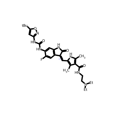 CCN(CC)CCNC(=O)c1c(C)[nH]c(/C=C2\C(=O)Nc3cc(NC(=O)Nc4cc(C(C)(C)C)on4)c(F)cc32)c1C